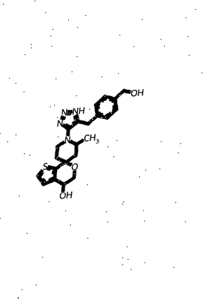 CC1CC2(CCN1c1nn[nH]c1Cc1ccc(CO)cc1)OCC(O)c1ccsc12